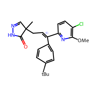 COc1nc(/C(=C/CC2(C)C=NNC2=O)c2ccc(C(C)(C)C)cc2)ccc1Cl